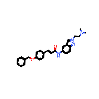 CN(C)CCn1cc2cc(NC(=O)C=Cc3ccc(OCc4ccccc4)cc3)ccc2n1